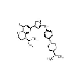 CC(C)N1CCOc2c(F)cc(-c3coc(Nc4ccc(N5CCC(N(C)C)CC5)cn4)n3)cc21